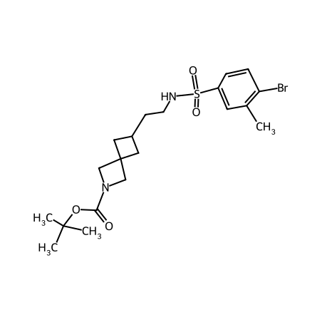 Cc1cc(S(=O)(=O)NCCC2CC3(C2)CN(C(=O)OC(C)(C)C)C3)ccc1Br